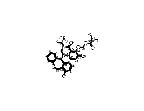 C[C@@H](N1CN([C@@H]2c3ccccc3SCc3c(Cl)cccc32)n2ccc(=O)c(OCOC(=O)N(C)C)c2C1=O)C(F)(F)F